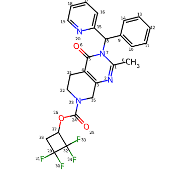 Cc1nc2c(c(=O)n1C(c1ccccc1)c1ccccn1)CCN(C(=O)OC1CC(F)(F)C1(F)F)C2